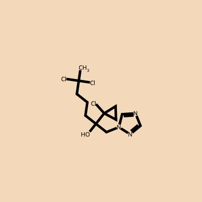 CC(Cl)(Cl)CCCC(O)(Cn1cncn1)C1(Cl)CC1